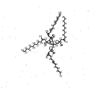 CCCCCCCCCCC(C)CC(=S)OCC(COC(=S)CC(C)CCCCCCCCCC)(COC(=S)CC(C)CCCCCCCCCC)COC(=S)CC(C)CCCCCCCCCC